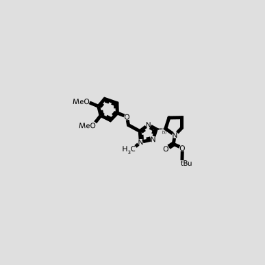 COc1ccc(OCc2nc([C@@H]3CCCN3C(=O)OC(C)(C)C)nn2C)cc1OC